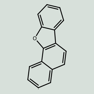 [c]1ccc2c(c1)ccc1c3ccccc3oc21